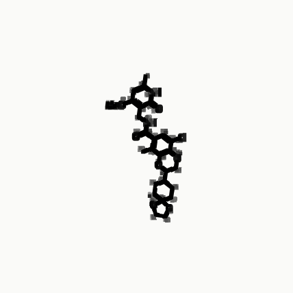 COc1cc(C)[nH]c(=O)c1CNC(=O)c1cc(Cl)c2c(c1C)OC(C1CCC3(CC1)OCCO3)CO2